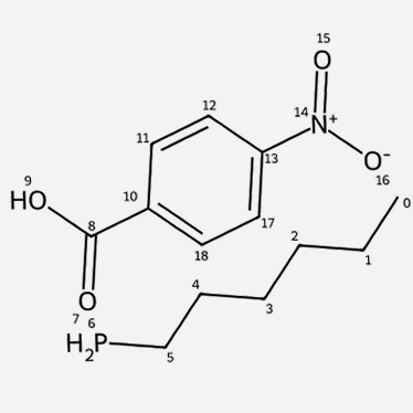 CCCCCCP.O=C(O)c1ccc([N+](=O)[O-])cc1